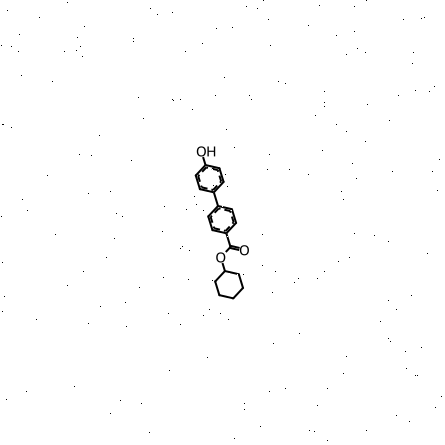 O=C(OC1CCCCC1)c1ccc(-c2ccc(O)cc2)cc1